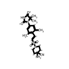 Cc1cc(N2C(=O)NC(=O)C2(C)C)cc(C)c1C=CS(=O)(=O)N1CCC(N)(C#N)CC1